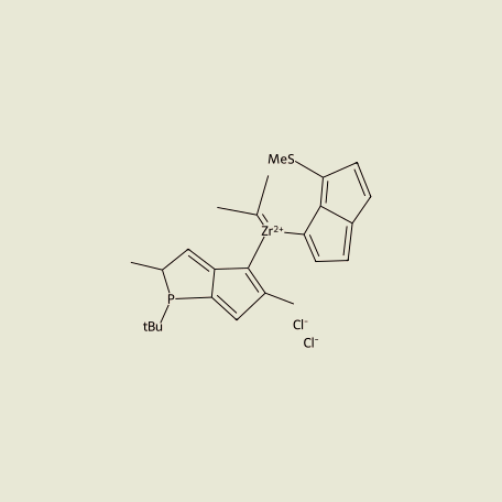 CSC1=C2C(=CC=[C]2[Zr+2]([C]2=C(C)C=C3C2=CC(C)P3C(C)(C)C)=[C](C)C)C=C1.[Cl-].[Cl-]